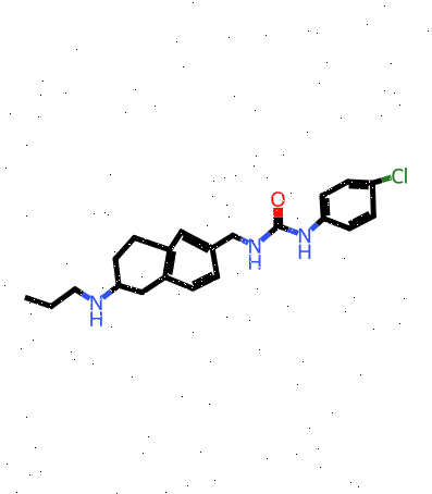 CCCNC1CCc2cc(CNC(=O)Nc3ccc(Cl)cc3)ccc2C1